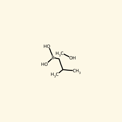 CC(C)CB(O)O.CO